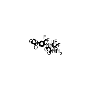 NC(=O)[C@@H](NC(=O)C(F)F)C(=O)Nc1ccc(N2CCOCC2=O)cc1C(F)F